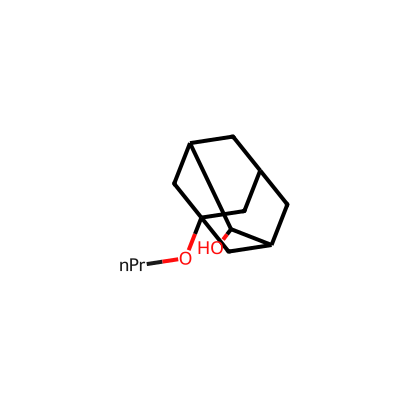 CCCOC12CC3CC(C1)C(O)C(C3)C2